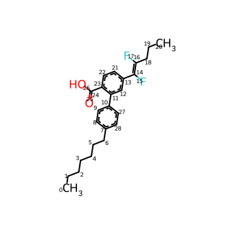 CCCCCCCc1ccc(-c2cc(/C(F)=C(\F)CCC)ccc2C(=O)O)cc1